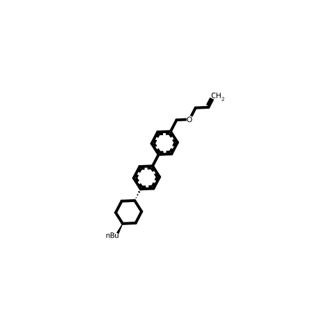 C=CCOCc1ccc(-c2ccc([C@H]3CC[C@H](CCCC)CC3)cc2)cc1